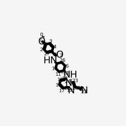 COc1ccc(C(=O)N[C@H]2CC[C@@H](Nc3cccc4nc(C#N)cn34)CC2)cc1